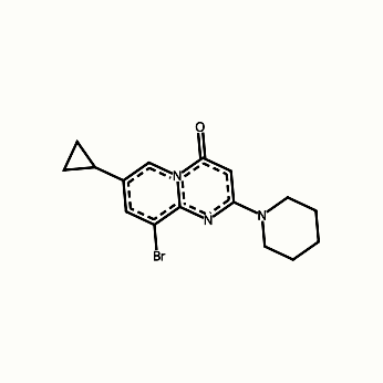 O=c1cc(N2CCCCC2)nc2c(Br)cc(C3CC3)cn12